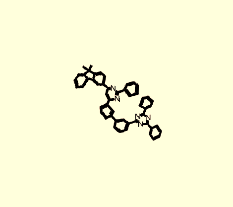 CC1(C)c2ccccc2-c2cc(-c3cc(-c4cccc(-c5cccc(-c6nc(-c7ccccc7)nc(-c7ccccc7)n6)c5)c4)nc(-c4ccccc4)n3)ccc21